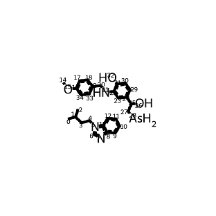 CC(C)CCn1cnc2ccccc21.COc1ccc(CNc2cc(C(O)C[AsH2])ccc2O)cc1